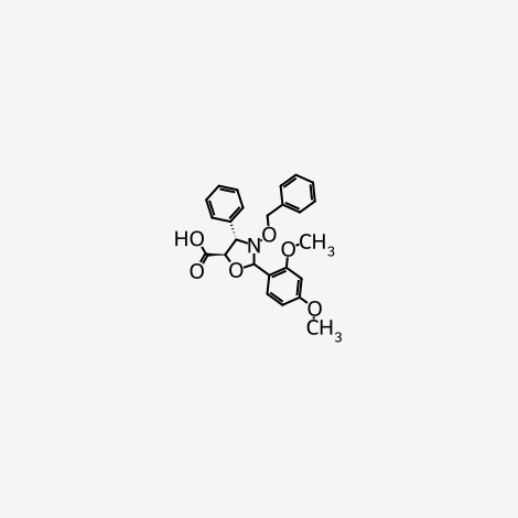 COc1ccc(C2O[C@@H](C(=O)O)[C@H](c3ccccc3)N2OCc2ccccc2)c(OC)c1